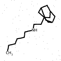 CCCCCCNCCC12CC3CC(CC(C3)C1)C2